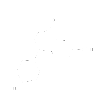 C=C(CC1CC(C2CCC(O)CC2)CCC1O)C(=O)O